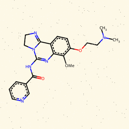 COc1c(OCCN(C)C)ccc2c1N=C(NC(=O)c1cccnc1)N1CCN=C21